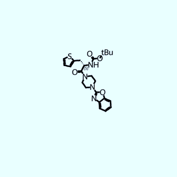 CC(C)(C)OC(=O)N[C@@H](Cc1cccs1)C(=O)N1CCN(c2nc3ccccc3o2)CC1